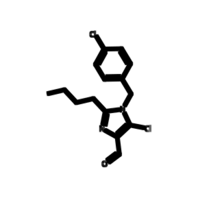 CCCCc1nc(C=O)c(Cl)n1Cc1ccc(Cl)cc1